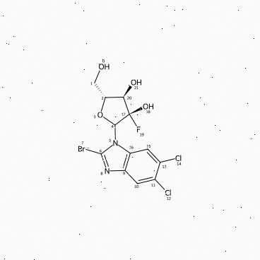 OC[C@H]1OC(n2c(Br)nc3cc(Cl)c(Cl)cc32)[C@@](O)(F)[C@@H]1O